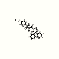 Cc1ccc(S(=O)(=O)NC(=O)C2=NOC(c3ccccc3)(c3ccccc3)C2)nc1